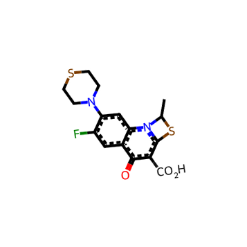 CC1Sc2c(C(=O)O)c(=O)c3cc(F)c(N4CCSCC4)cc3n21